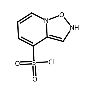 O=S(=O)(Cl)C1=CC=CN2ONC=C12